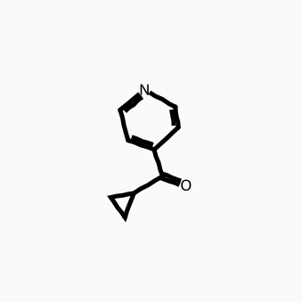 O=C(c1ccncc1)C1CC1